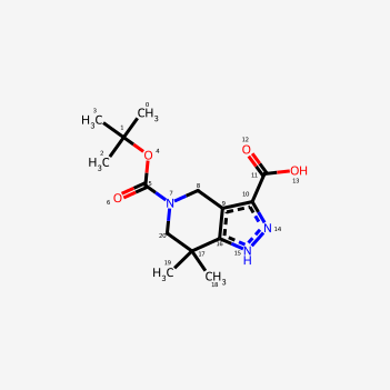 CC(C)(C)OC(=O)N1Cc2c(C(=O)O)n[nH]c2C(C)(C)C1